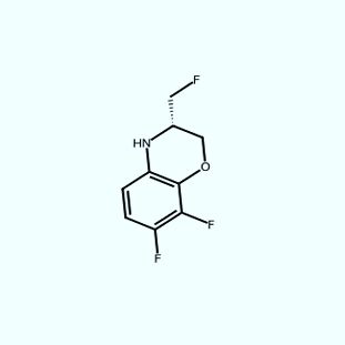 FC[C@@H]1COc2c(ccc(F)c2F)N1